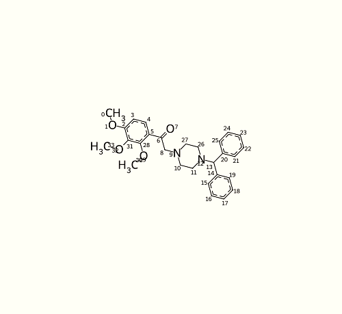 COc1ccc(C(=O)CN2CCN(C(c3ccccc3)c3ccccc3)CC2)c(OC)c1OC